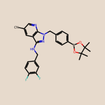 [C-]#[N+]c1cnc2c(c1)c(NCc1ccc(F)c(F)c1)nn2Cc1ccc(B2OC(C)(C)C(C)(C)O2)cc1